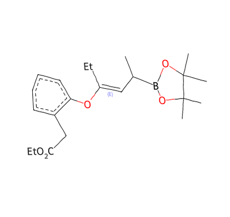 CCOC(=O)Cc1ccccc1O/C(=C/C(C)B1OC(C)(C)C(C)(C)O1)CC